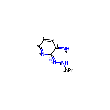 CCCN/N=C1/N=CC=CC1=N